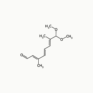 COC(OC)C(C)=CC=CC(C)=CC=O